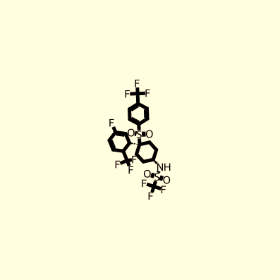 O=S(=O)(N[C@H]1CC[C@@](C2C=C(F)C=CC2C(F)(F)F)(S(=O)(=O)c2ccc(C(F)(F)F)cc2)CC1)C(F)(F)F